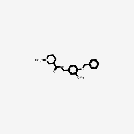 COc1cc(CNC(=O)C2CCCN(C(=O)O)C2)ccc1OCc1ccccc1